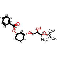 CC(C)(C)[Si](C)(C)OCC(O)CO[C@@H]1CCC[C@H](OC(=O)c2ccccc2)C1